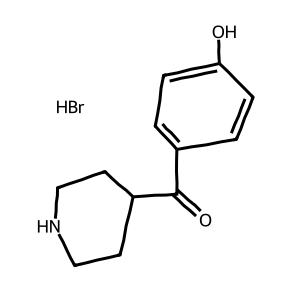 Br.O=C(c1ccc(O)cc1)C1CCNCC1